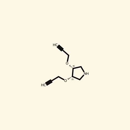 C#CCO[C@H]1CNC[C@H]1OCC#C